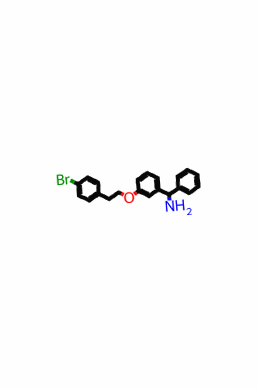 NC(c1ccccc1)c1cccc(OCCc2ccc(Br)cc2)c1